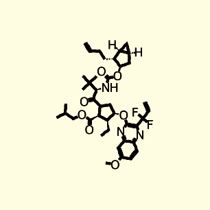 C=CCC[C@@H]1[C@H]2C[C@H]2C[C@H]1OC(=O)N[C@H](C(=O)C1C[C@H](Oc2nc3cc(OC)ccc3nc2C(F)(F)C=C)[C@@H](CC)[C@H]1C(=O)OCC(C)C)C(C)(C)C